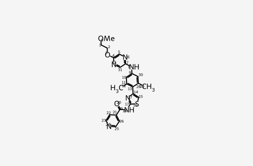 COCCOc1cnc(Nc2cc(C)c(-c3csc(NC(=O)c4ccncc4)n3)c(C)c2)cn1